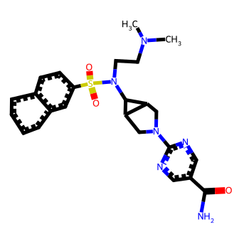 CN(C)CCN(C1C2CN(c3ncc(C(N)=O)cn3)CC21)S(=O)(=O)c1ccc2ccccc2c1